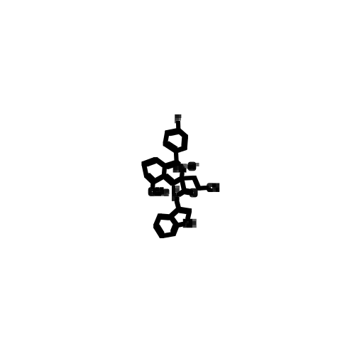 COc1cccc2c1=CC(CCC#N)(C(=O)Nc1c[nH]c3ccccc13)[NH+]([O-])C=2c1ccc(F)cc1